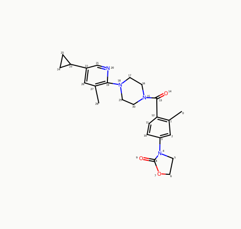 Cc1cc(N2CCOC2=O)ccc1C(=O)N1CCN(c2ncc(C3CC3)cc2C)CC1